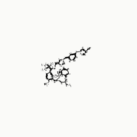 Cc1ccc(C(OCc2cn(Cc3cccc(Cn4cc(C(C)C)nn4)c3)nn2)C(C)(C)C(=O)O)cc1CN1CC(C)Oc2ccccc2S1(O)O